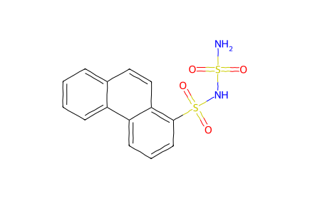 NS(=O)(=O)NS(=O)(=O)c1cccc2c1ccc1ccccc12